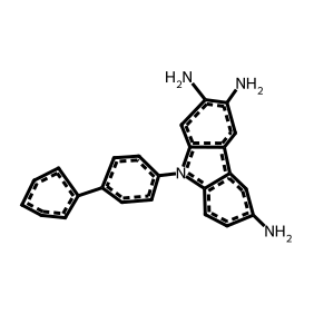 Nc1ccc2c(c1)c1cc(N)c(N)cc1n2-c1ccc(-c2ccccc2)cc1